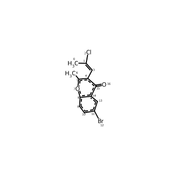 C/C(Cl)=C\c1c(C)oc2ccc(Br)cc2c1=O